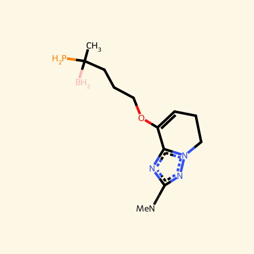 BC(C)(P)CCCOC1=CCCn2nc(NC)nc21